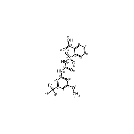 COc1cc(C(F)(F)F)nc(NC(=O)NS(=O)(=O)c2ccccc2C(=O)O)n1